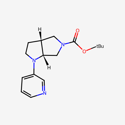 CC(C)(C)OC(=O)N1C[C@H]2CCN(c3cccnc3)[C@H]2C1